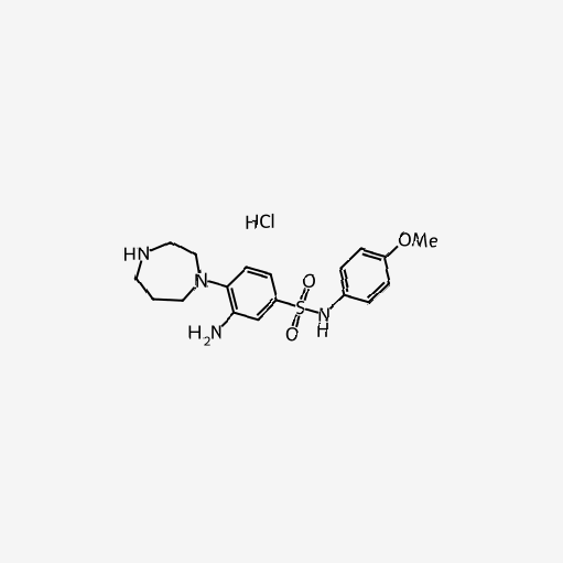 COc1ccc(NS(=O)(=O)c2ccc(N3CCCNCC3)c(N)c2)cc1.Cl